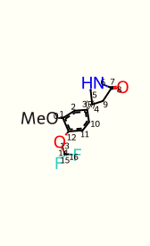 COc1cc([C@@H]2CNC(=O)C2)ccc1OC(F)F